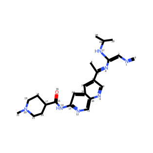 C=N/C=C(\N=C(/C)c1cnc2cnc(NC(=O)C3CCN(C)CC3)cc2c1)NC(C)C